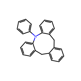 c1ccc(N2c3ccccc3Cc3ccccc3Cc3ccccc32)cc1